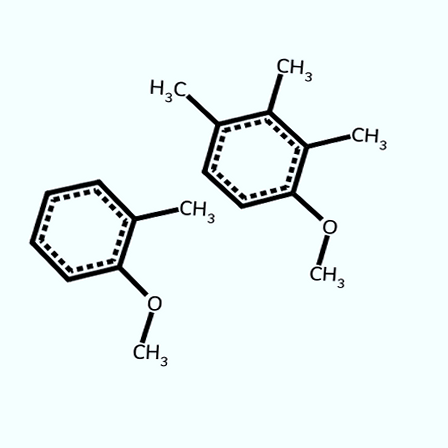 COc1ccc(C)c(C)c1C.COc1ccccc1C